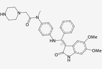 COc1cc2c(cc1OC)/C(=C(/Nc1ccc(N(C)C(=O)CN3CCNCC3)cc1)c1ccccc1)C(=O)N2